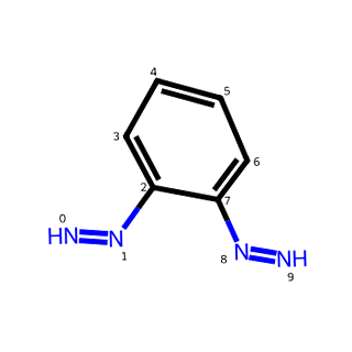 N=Nc1ccccc1N=N